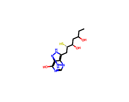 CCC(O)C[C@@H](O)[C@@H](S)CC1=C2C3=C(O)N=CN2NN3N1